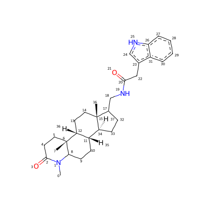 CN1C(=O)CC[C@@]2(C)C1CC[C@@H]1[C@H]2CC[C@]2(C)C(CNC(=O)Cc3c[nH]c4ccccc34)CC[C@@H]12